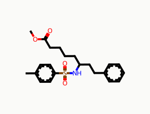 COC(=O)CCCCC(CCc1ccccc1)NS(=O)(=O)c1ccc(C)cc1